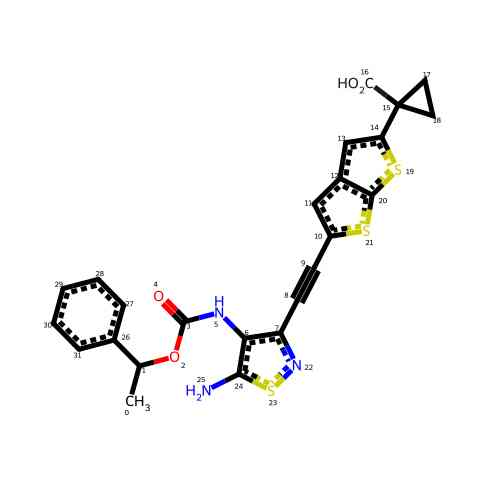 CC(OC(=O)Nc1c(C#Cc2cc3cc(C4(C(=O)O)CC4)sc3s2)nsc1N)c1ccccc1